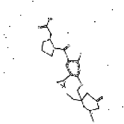 C=C1CC(C)CC(CC)(COc2cc(F)c(C(=O)N3CCC[C@H]3CC(=O)O)cc2C2CC2)C1